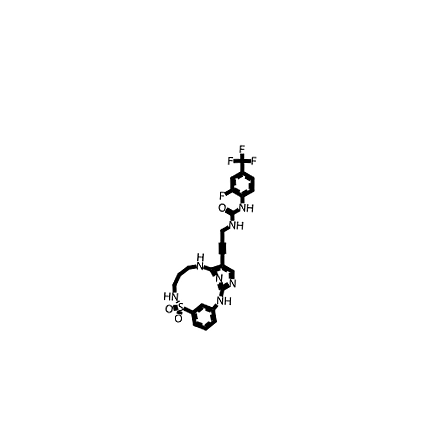 O=C(NCC#Cc1cnc2nc1NCCCNS(=O)(=O)c1cccc(c1)N2)Nc1ccc(C(F)(F)F)cc1F